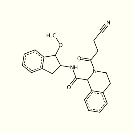 COC1c2ccccc2CC1NC(=O)C1c2ccccc2CCN1C(=O)CCC#N